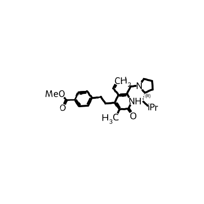 C=Cc1c(CN2CCC[C@@H]2CC(C)C)[nH]c(=O)c(C)c1CCc1ccc(C(=O)OC)cc1